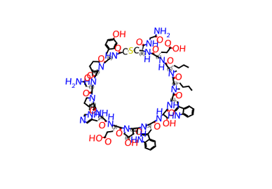 CCCC[C@H]1C(=O)N(C)[C@@H](CCCC)C(=O)N[C@@H](CCC(=O)O)C(=O)N[C@H](C(=O)NCC(N)=O)CSCC(=O)N[C@@H](Cc2ccc(O)cc2)C(=O)N2CCCC[C@H]2C(=O)N[C@@H](CC(N)=O)C(=O)N2CCC[C@H]2C(=O)N[C@@H](Cc2cnc[nH]2)C(=O)N[C@@H](CCC(=O)O)C(=O)N2C[C@H](O)C[C@H]2C(=O)N[C@@H](Cc2c[nH]c3ccccc23)C(=O)NC(CO)C(=O)N[C@@H](Cc2c[nH]c3ccccc23)C(=O)N1C